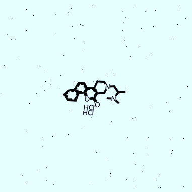 CC(CN1CCc2c(c(=O)oc3c2ccc2ccccc23)C1)N(C)C.Cl.Cl